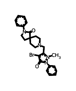 Cn1c(CN2CCC3(CC2)CCN(c2ccccc2)C3=O)c(Br)c(=O)n1-c1ccccc1